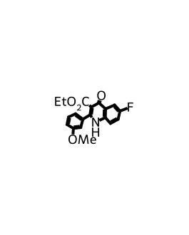 CCOC(=O)c1c(-c2cccc(OC)c2)[nH]c2ccc(F)cc2c1=O